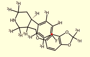 [2H]c1c([2H])c([C@]2([2H])CC([2H])([2H])NC([2H])([2H])C2([2H])COc2ccc3c(c2)OC([2H])([2H])O3)c([2H])c([2H])c1F